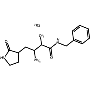 Cl.NC(CC1CCNC1=O)C(O)C(=O)NCc1ccccc1